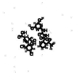 CC1(C(=O)O)CC(C(=O)O)=NN1c1ccc(Cl)cc1Cl.COc1cc(OC)nc(NC(=O)NS(=O)(=O)c2ncccc2C(=O)N(C)C)n1